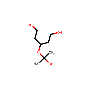 CC(C)(O)OC(CCO)CCO